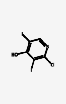 Oc1c(I)cnc(Cl)c1I